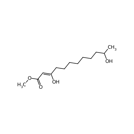 COC(=O)C=C(O)CCCCCCCC(C)O